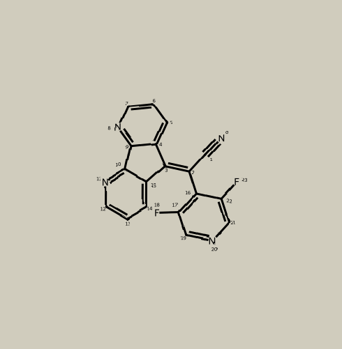 N#CC(=C1c2cccnc2-c2ncccc21)c1c(F)cncc1F